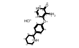 Cl.Nc1c(Oc2ccc(C3CCCCN3)cc2)nc[nH]c1=O